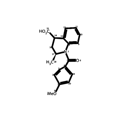 COc1ccc(C(=O)N2c3ccccc3C(C(=O)O)C[C@@H]2C)cc1